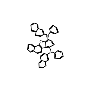 c1ccc(N(c2ccc3ccccc3c2)c2ccc(N(c3ccccc3)c3ccc4ccccc4c3)c3c2oc2c4ccccc4ccc23)cc1